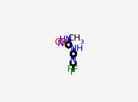 CNc1cc(Nc2ccc(N3CCC(C(F)(F)F)CC3)cc2)ccc1ON=O